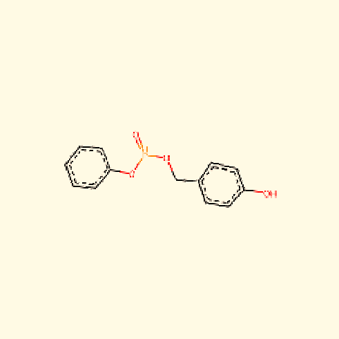 O=[PH](OCc1ccc(O)cc1)Oc1ccccc1